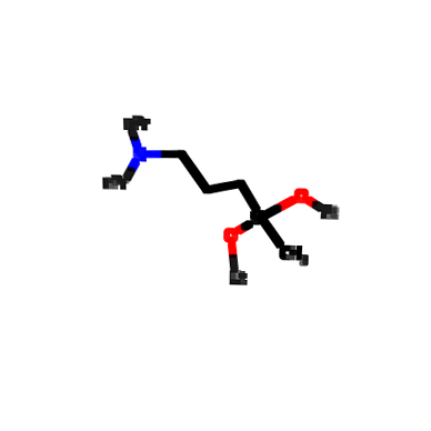 CCCN(CCC)CCC[Si](C)(OCC)OCC